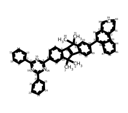 CC1(C)C2=C(c3ccc(-c4nc(-c5ccccc5)nc(-c5ccccc5)n4)cc31)C(C)(C)c1cc(-c3cc4ccccc4c4ccccc34)ccc12